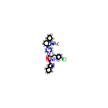 CC(=O)N(CC1(N2CCN(C(=O)C(Cc3ccc(Cl)cc3)NC(=O)c3cc4ccccc4cn3)CC2)CCCCC1)c1ccccc1